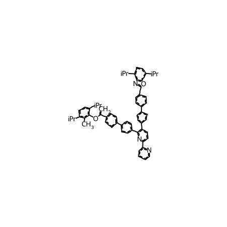 C=C(Oc1c(C(C)C)ccc(C(C)C)c1C)c1ccc(-c2ccc(-c3nc(-c4ccccn4)ccc3-c3ccc(-c4ccc(-c5nc6c(C(C)C)ccc(C(C)C)c6o5)cc4)cc3)cc2)cc1